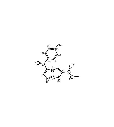 COC(=O)c1cn2c(C(=O)c3ccc(C)cc3)cnc2s1